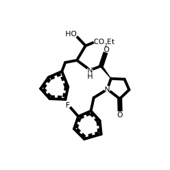 CCOC(=O)C(O)C(Cc1ccccc1)NC(=O)[C@H]1CCC(=O)N1Cc1ccccc1F